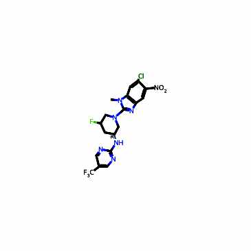 Cn1c(N2CC(F)C[C@@H](Nc3ncc(C(F)(F)F)cn3)C2)nc2cc([N+](=O)[O-])c(Cl)cc21